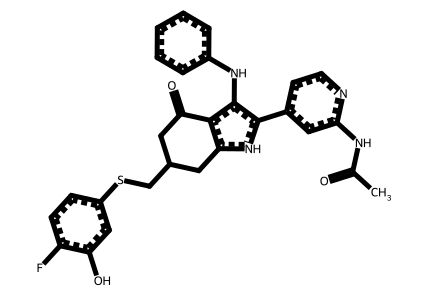 CC(=O)Nc1cc(-c2[nH]c3c(c2Nc2ccccc2)C(=O)CC(CSc2ccc(F)c(O)c2)C3)ccn1